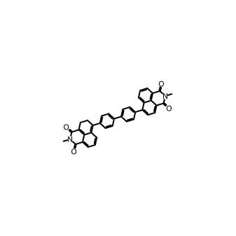 CN1C(=O)C2=c3c(cccc3=C(c3ccc(-c4ccc(-c5ccc6c7c(cccc57)C(=O)N(C)C6=O)cc4)cc3)CC2)C1=O